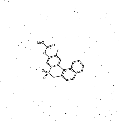 COC(=O)Oc1cc2c(cc1C)-c1c(ccc3ccccc13)CS2(=O)=O